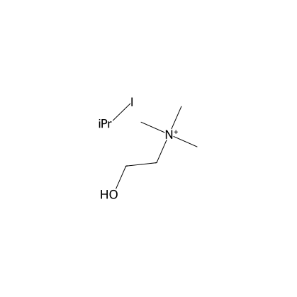 CC(C)I.C[N+](C)(C)CCO